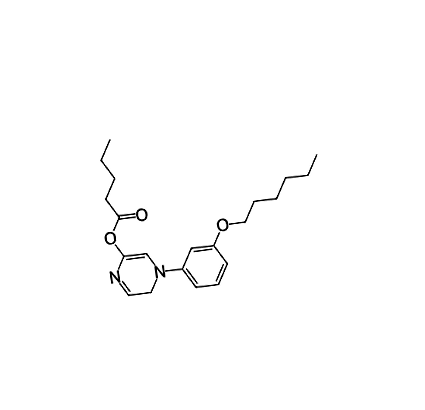 CCCCCCOc1cccc(N2C=C(OC(=O)CCCC)N=CC2)c1